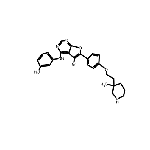 CC1(CCOc2ccc(-c3oc4ncnc(Nc5cccc(O)c5)c4c3Br)cc2)CCCNC1